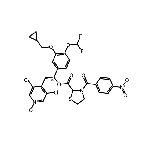 O=C(O[C@@H](Cc1c(Cl)c[n+]([O-])cc1Cl)c1ccc(OC(F)F)c(OCC2CC2)c1)C1SCCN1C(=O)c1ccc([N+](=O)[O-])cc1